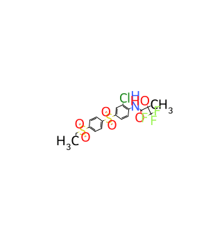 CCS(=O)(=O)c1ccc(S(=O)(=O)c2ccc(NC(=O)C(C)(O)C(F)(F)F)c(Cl)c2)cc1